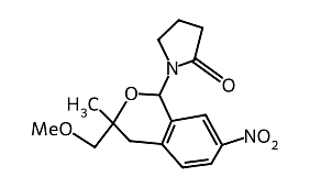 COCC1(C)Cc2ccc([N+](=O)[O-])cc2C(N2CCCC2=O)O1